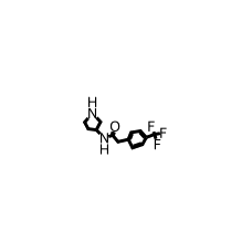 O=C(Cc1ccc(C(F)(F)F)cc1)NC1CCNC1